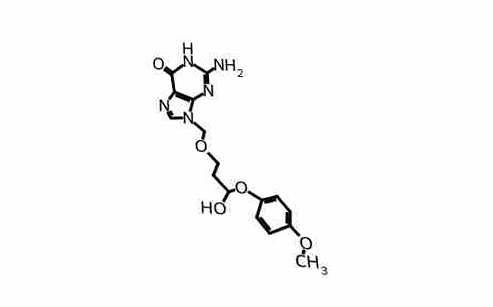 COc1ccc(OC(O)CCOCn2cnc3c(=O)[nH]c(N)nc32)cc1